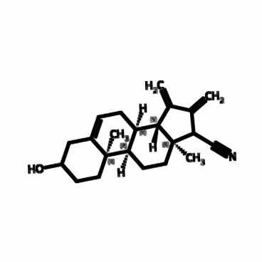 C=C1C(=C)[C@H]2[C@@H]3CC=C4CC(O)CC[C@]4(C)[C@@H]3CC[C@]2(C)C1C#N